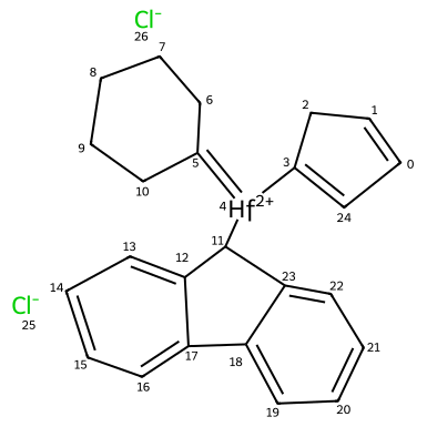 C1=CC[C]([Hf+2](=[C]2CCCCC2)[CH]2c3ccccc3-c3ccccc32)=C1.[Cl-].[Cl-]